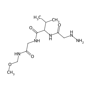 COCNC(=O)CNC(=O)C(NC(=O)CNN)C(C)C